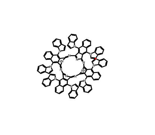 c1ccc2c(c1)ccn2-c1c2c(c(-n3ccc4ccccc43)c3ccccc13)-c1nc-2nc2[nH]c(nc3nc(nc4[nH]c(n1)c1c(-n5ccc6ccccc65)c5ccccc5c(-n5ccc6ccccc65)c41)-c1c-3c(-n3ccc4ccccc43)c3ccccc3c1-n1ccc3ccccc31)c1c(-n3ccc4ccccc43)c3ccccc3c(-n3ccc4ccccc43)c21